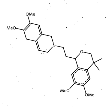 COC1=C(OC)CC2=CCN(CCC3OCC(C)(C)c4cc(OC)c(OC)cc43)CC2=C1